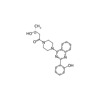 C[C@@H](O)CC(=O)N1CCN(c2nc(-c3ccccc3O)nc3ccccc23)CC1